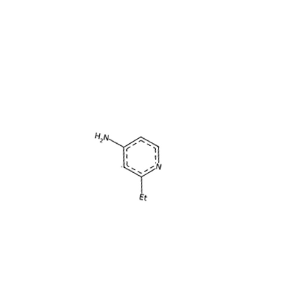 CCc1[c]c(N)ccn1